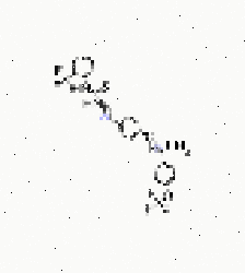 C/C(=N\Oc1ccc(/C=N/NC(=S)Nc2ccccc2C(F)(F)F)cc1)c1ccc(OC(F)(F)F)cc1